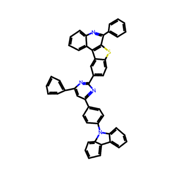 c1ccc(-c2cc(-c3ccc(-n4c5ccccc5c5ccccc54)cc3)nc(-c3ccc4sc5c(-c6ccccc6)nc6ccccc6c5c4c3)n2)cc1